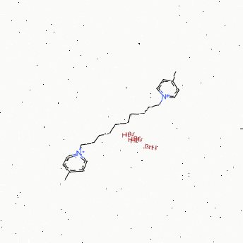 Br.Br.Br.Br.Cc1cc[n+](CCCCCCCCCC[n+]2ccc(C)cc2)cc1